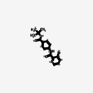 CC(C)(C)OC(=O)c1ccc(NC(=O)c2ncccc2Br)cc1